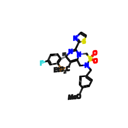 CCOC(=O)C1=C2CN(Cc3ccc(OC)cc3)S(=O)(=O)CN2C(c2nccs2)=N[C@H]1c1ccc(F)cc1Br